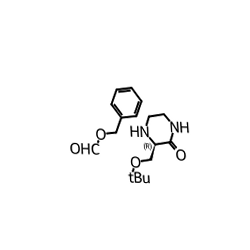 CC(C)(C)OC[C@H]1NCCNC1=O.O=COCc1ccccc1